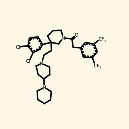 O=C(Cc1cc(C(F)(F)F)cc(C(F)(F)F)c1)N1CCCC(CCN2CCC(N3CCCCC3)CC2)(c2ccc(Cl)c(Cl)c2)C1